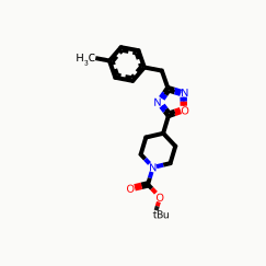 Cc1ccc(Cc2noc(C3CCN(C(=O)OC(C)(C)C)CC3)n2)cc1